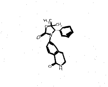 CC1(C)OC(=O)N(c2ccc3c(c2)CCNC3=O)[C@H]1c1ccccc1